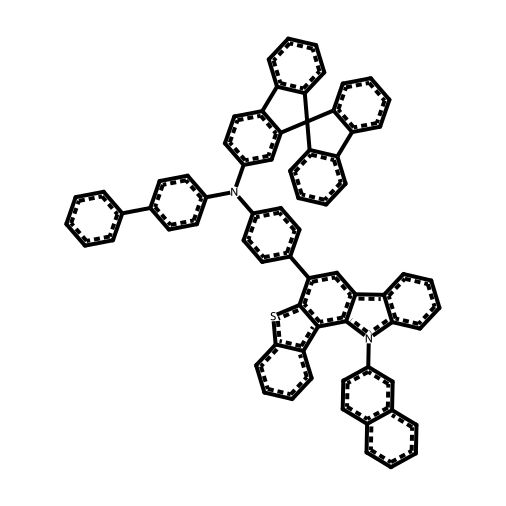 c1ccc(-c2ccc(N(c3ccc(-c4cc5c6ccccc6n(-c6ccc7ccccc7c6)c5c5c4sc4ccccc45)cc3)c3ccc4c(c3)C3(c5ccccc5-c5ccccc53)c3ccccc3-4)cc2)cc1